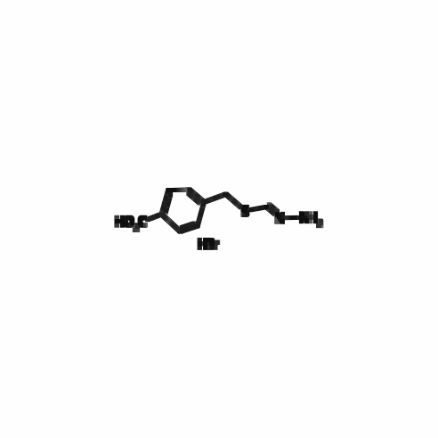 Br.NN=CSCc1ccc(C(=O)O)cc1